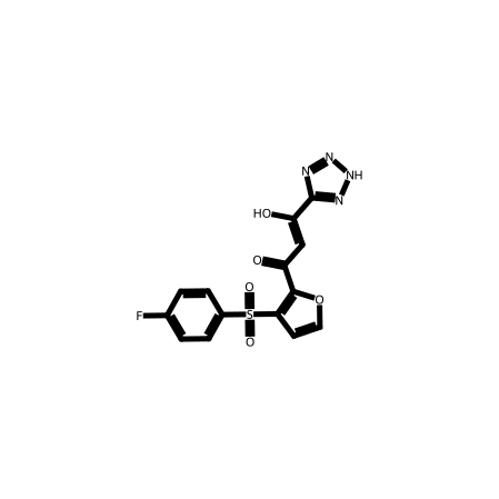 O=C(C=C(O)c1nn[nH]n1)c1occc1S(=O)(=O)c1ccc(F)cc1